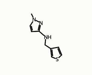 Cn1ccc(NCc2ccsc2)n1